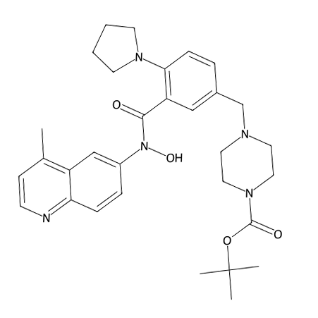 Cc1ccnc2ccc(N(O)C(=O)c3cc(CN4CCN(C(=O)OC(C)(C)C)CC4)ccc3N3CCCC3)cc12